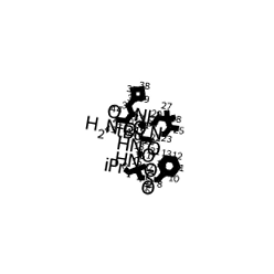 CC(C)CC(C)(CS(=O)(=O)Cc1ccccc1)NC(=O)N[C@H](C(=O)N1CC(C)C(C)(C)C[C@H]1C(=O)NC(CC1CCC1)C(=O)C(N)=O)C(C)(C)C